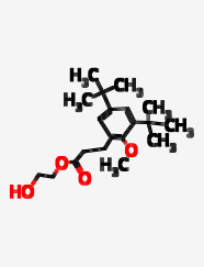 COc1c(CCC(=O)OCCO)cc(C(C)(C)C)cc1C(C)(C)C